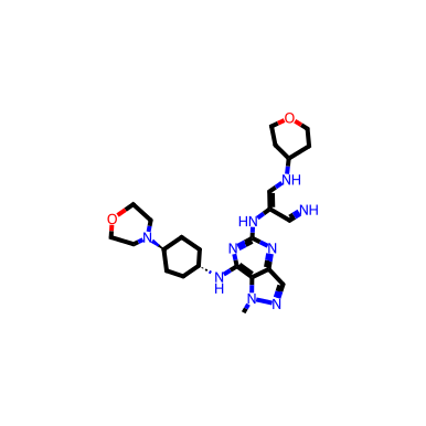 Cn1ncc2nc(N/C(C=N)=C/NC3CCOCC3)nc(N[C@H]3CC[C@H](N4CCOCC4)CC3)c21